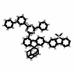 CS1(C)c2ccccc2-c2ccc(-c3ccc4c(c3)C3(c5cccc(-c6nc(-c7ccccc7)nc(-c7cccc(-c8ccccc8)c7)n6)c5-4)C4CC5CC(C4)CC3C5)cc21